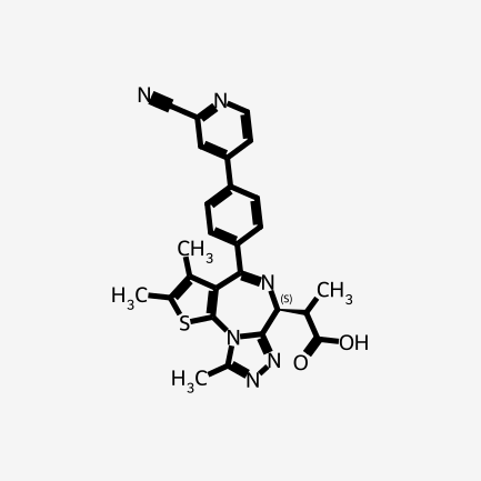 Cc1sc2c(c1C)C(c1ccc(-c3ccnc(C#N)c3)cc1)=N[C@@H](C(C)C(=O)O)c1nnc(C)n1-2